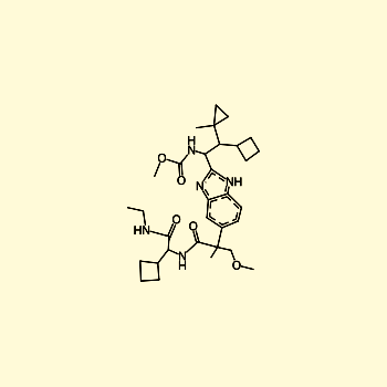 CCNC(=O)C(NC(=O)C(C)(COC)c1ccc2[nH]c(C(NC(=O)OC)C(C3CCC3)C3(C)CC3)nc2c1)C1CCC1